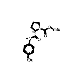 CCCCOC(=O)N1CCC[C@H]1C(=O)Nc1ccc(C(C)(C)C)cc1